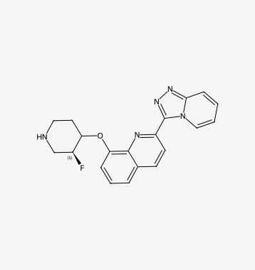 F[C@H]1CNCCC1Oc1cccc2ccc(-c3nnc4ccccn34)nc12